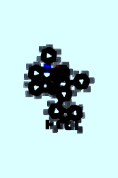 CC1(C)c2ccccc2-c2c(-c3ccc(C(c4ccccc4)c4ccccc4-c4cccc5c4C4(c6ccccc6-5)c5ccccc5N(c5ccccc5)c5ccccc54)cc3)cccc21